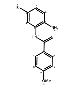 C=C(Nc1cc(Br)ccc1N)c1ccc(OC)cc1